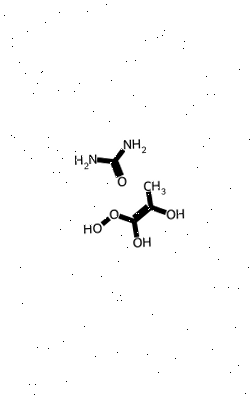 CC(O)=C(O)OO.NC(N)=O